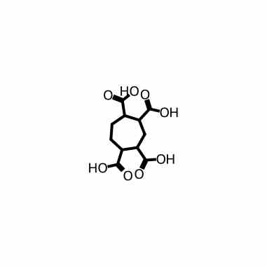 O=C(O)C1CCC(C(=O)O)C(C(=O)O)CC1C(=O)O